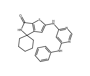 O=C1NC2(CCCCC2)c2cc(Nc3cc(Nc4ccccc4)ncn3)sc21